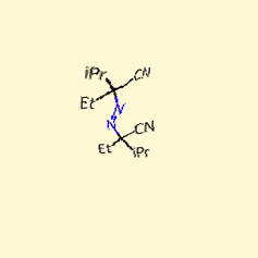 CCC(C#N)(N=NC(C#N)(CC)C(C)C)C(C)C